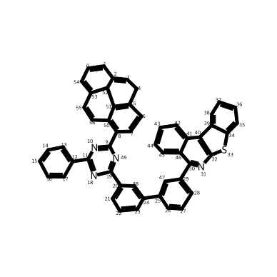 C1=CC2=CCc3ccc(-c4nc(-c5ccccc5)nc(-c5cccc(-c6cccc(-c7nc8sc9ccccc9c8c8ccccc78)c6)c5)n4)c4c3C2C(=C1)C=C4